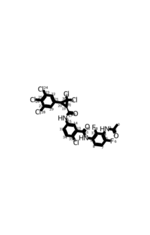 CC(=O)Nc1c(F)ccc(NC(=O)c2cc(NC(=O)[C@H]3C(c4cc(Cl)c(Cl)c(Cl)c4)C3(Cl)Cl)ccc2Cl)c1F